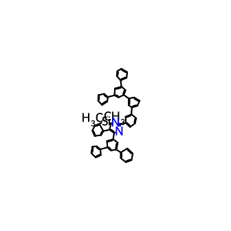 C[Si]1(C)c2ccccc2-c2c(-c3cc(-c4ccccc4)cc(-c4ccccc4)c3)nc(-c3cccc(-c4cccc(-c5cc(-c6ccccc6)cc(-c6ccccc6)c5)c4)c3)nc21